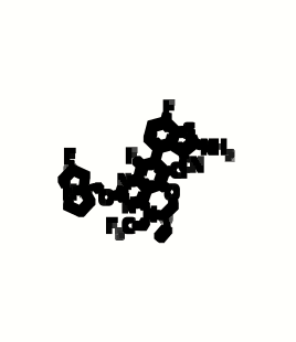 C=C[C@H]1COc2c(Cl)c(-c3ccc(F)c4sc(N)c(C#N)c34)c(F)c3nc(OC[C@@]45CCCN4C[C@H](F)C5)nc(c23)N1CC(F)(F)F